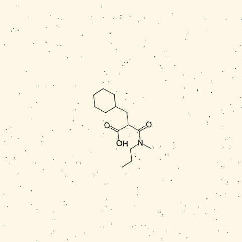 CCCN(C)C(=O)C(CC1CCCCC1)C(=O)O